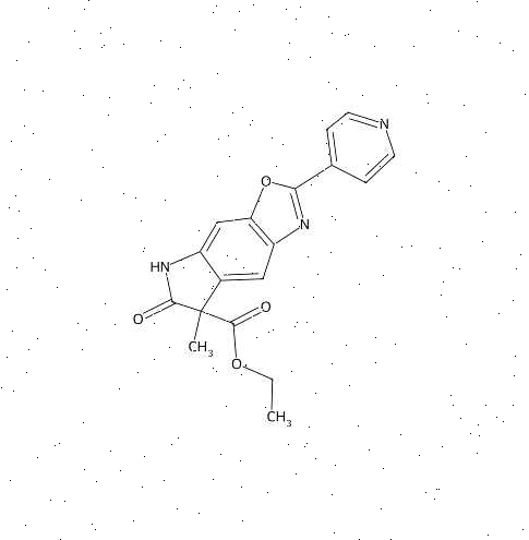 CCOC(=O)C1(C)C(=O)Nc2cc3oc(-c4ccncc4)nc3cc21